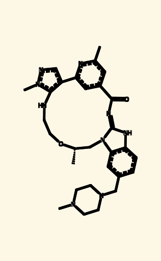 Cc1cc2cc(n1)-c1cnn(C)c1NCCO[C@@H](C)CN1/C(=N/C2=O)Nc2ccc(CN3CCN(C)CC3)cc21